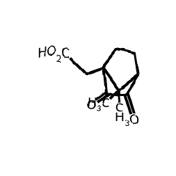 CC1(C)C2CCC1(CC(=O)O)C(=O)C2=O